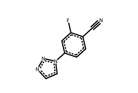 N#Cc1ccc(-n2ccnn2)cc1F